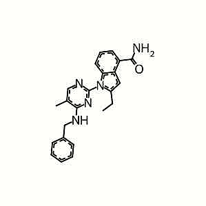 CCc1cc2c(C(N)=O)cccc2n1-c1ncc(C)c(NCc2ccccc2)n1